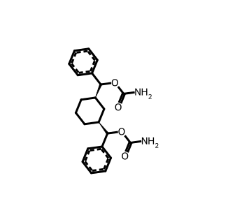 NC(=O)OC(c1ccccc1)[C@@H]1CCC[C@H](C(OC(N)=O)c2ccccc2)C1